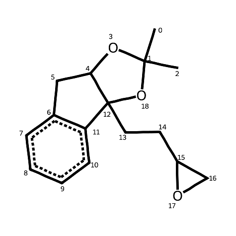 CC1(C)OC2Cc3ccccc3C2(CCC2CO2)O1